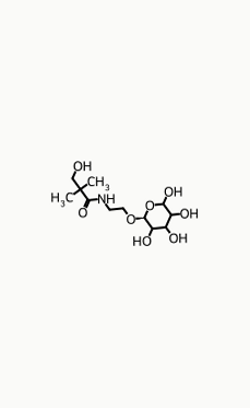 CC(C)(CO)C(=O)NCCO[C@H]1OC(O)C(O)C(O)C1O